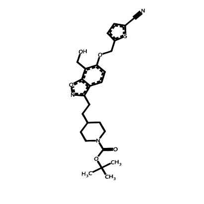 CC(C)(C)OC(=O)N1CCC(CCc2noc3c(CO)c(OCc4ccc(C#N)s4)ccc23)CC1